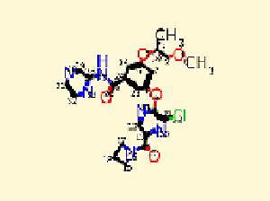 COC[C@H](C)Oc1cc(Oc2ncc(C(=O)N3CCC3)nc2Cl)cc(C(=O)Nc2cnccn2)c1